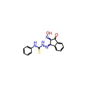 O=c1c(=NO)c(=NNC(=S)Nc2ccccc2)c2ccccc12